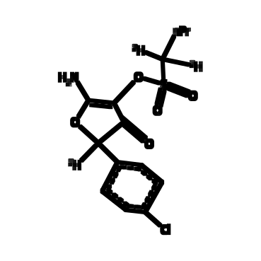 [2H]C1(c2ccc(Cl)cc2)OC(N)=C(OS(=O)(=O)C([2H])([2H])CCC)C1=O